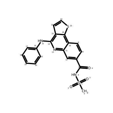 CS(=O)(=O)NC(=O)c1ccc2c(c1)nc(Nc1ccccc1)c1ccsc12